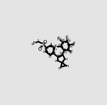 O=S(=O)(CF)c1ccc(C2=C(c3c(F)c(F)c(F)c(F)c3F)CC3(CC3)C2)cc1